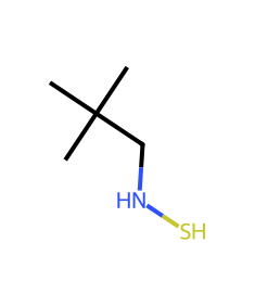 CC(C)(C)CNS